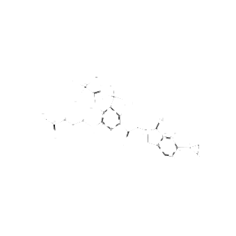 CC(C)(C)c1cc(C(=O)CN2Cc3ccc(C4CC4)nc3C2=N)cc(OCCCC(N)=O)c1OC(=O)C(F)(F)F